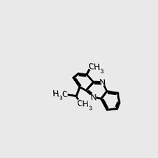 Cc1ccc(C(C)C)c2nc3ccccc3nc12